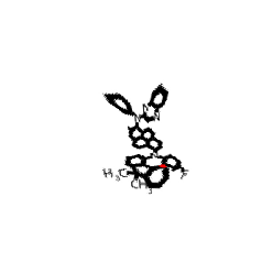 CC1(C)c2ccccc2-c2c(N(c3ccc(F)cc3)c3ccc4ccc5c(N(c6ccccc6)c6cnc7ccccc7n6)ccc6ccc3c4c65)cccc21